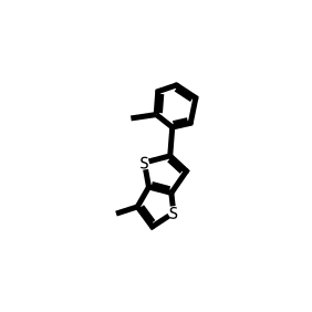 Cc1ccccc1-c1cc2scc(C)c2s1